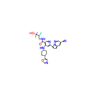 CC(C)(O)C(F)CNC(=O)c1cnc(-c2ccc3cc(C#N)cnn23)cc1NC1CCC(c2cnco2)CC1